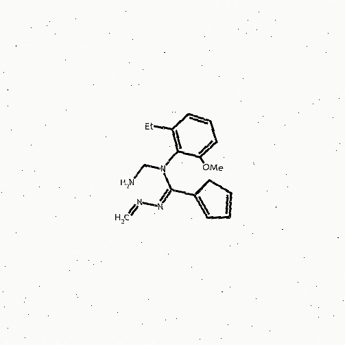 C=N/N=C(/C1=CC=CC1)N(CN)c1c(CC)cccc1OC